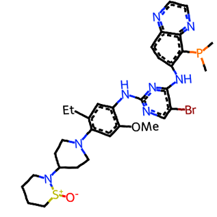 CCc1cc(Nc2ncc(Br)c(Nc3ccc4nccnc4c3P(C)C)n2)c(OC)cc1N1CCC(N2CCCC[S+]2[O-])CC1